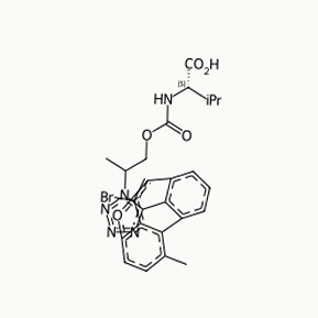 Cc1ccc2oc3c(Br)c2c1-c1cccc-3c1-c1nnnn1C(C)COC(=O)N[C@H](C(=O)O)C(C)C